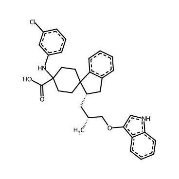 C[C@@H](COc1c[nH]c2ccccc12)C[C@H]1Cc2ccccc2C12CCC(Nc1cccc(Cl)c1)(C(=O)O)CC2